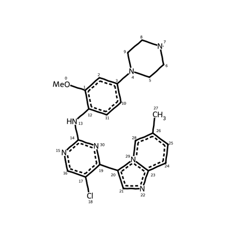 COc1cc(N2CC[N]CC2)ccc1Nc1ncc(Cl)c(-c2cnc3ccc(C)cn23)n1